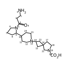 NCCC(=O)N1CCCC1C1CCN(C2CC3(CCN(C(=O)O)C3)C2)CC1